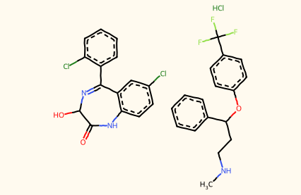 CNCCC(Oc1ccc(C(F)(F)F)cc1)c1ccccc1.Cl.O=C1Nc2ccc(Cl)cc2C(c2ccccc2Cl)=NC1O